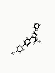 CC1CCN(c2ccc(-c3[nH]c(-c4ccncc4)cc3C(N)=O)cc2)CC1